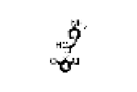 NC1CCN(CC(O)COc2c(Cl)cccc2Cl)CC1